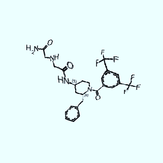 NC(=O)CNCC(=O)N[C@H]1CCN(C(=O)c2cc(C(F)(F)F)cc(C(F)(F)F)c2)[C@H](Cc2ccccc2)C1